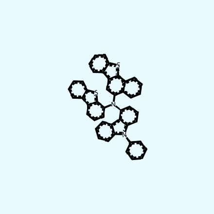 c1ccc(-n2c3ccccc3c3c(N(c4cc5c6ccccc6sc5c5ccccc45)c4cccc5c4sc4ccccc45)cccc32)cc1